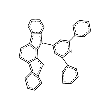 c1ccc(-c2cc(-n3c4ccccc4c4ccc5c6ccccc6sc5c43)cc(-c3ccccc3)n2)cc1